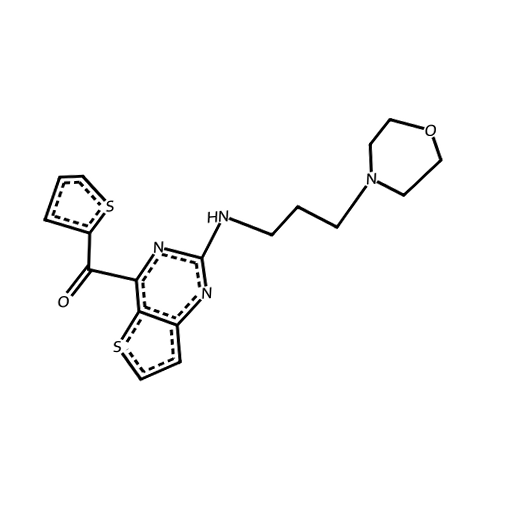 O=C(c1cccs1)c1nc(NCCCN2CCOCC2)nc2ccsc12